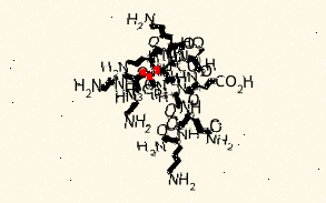 CC(C)[C@H](NC(=O)[C@H](CCC(=O)O)NC(=O)[C@H](CO)NC(=O)[C@H](CCCCN)NC(=O)[C@H](CCCN)NC(=O)[C@H](C)NC(=O)[C@H](CC(=O)O)NC(=O)CC(CNCCN)CNCCN)C(=O)N[C@@H](CCC(N)=O)C(=O)N[C@@H](CCCCN)C(N)=O